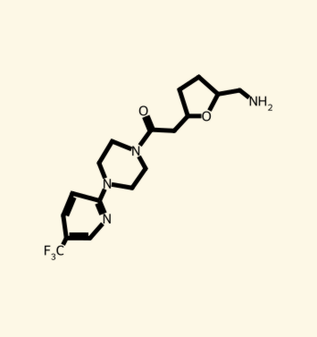 NCC1CCC(CC(=O)N2CCN(c3ccc(C(F)(F)F)cn3)CC2)O1